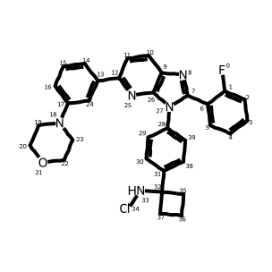 Fc1ccccc1-c1nc2ccc(-c3cccc(N4CCOCC4)c3)nc2n1-c1ccc(C2(NCl)CCC2)cc1